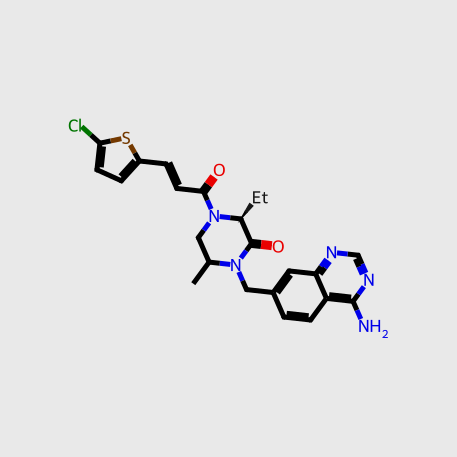 CC[C@H]1C(=O)N(Cc2ccc3c(N)ncnc3c2)C(C)CN1C(=O)C=Cc1ccc(Cl)s1